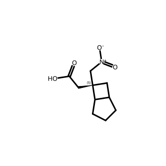 O=C(O)C[C@@]1(C[N+](=O)[O-])CC2CCCC21